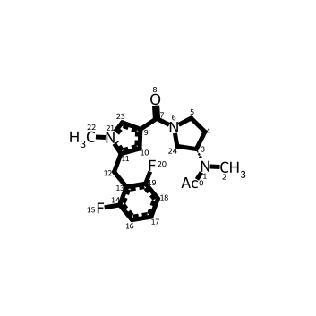 CC(=O)N(C)[C@H]1CCN(C(=O)c2cc(Cc3c(F)cccc3F)n(C)c2)C1